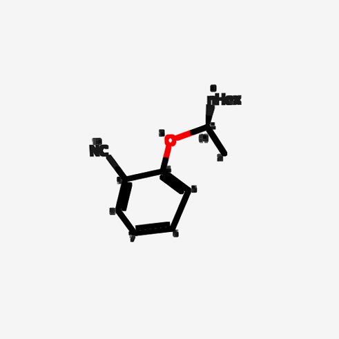 CCCCCC[C@@H](C)Oc1cc[c]cc1C#N